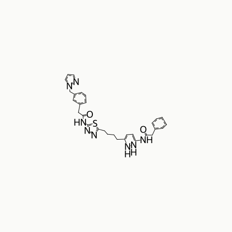 O=C(Cc1ccccc1)NC1=CC=C(CCCCc2nnc(NC(=O)Cc3cccc(Cn4cccn4)c3)s2)NN1